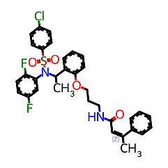 C/C(=C/C(=O)NCCCOc1ccccc1C(C)N(c1cc(F)ccc1F)S(=O)(=O)c1ccc(Cl)cc1)c1ccccc1